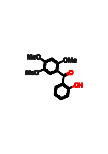 COc1cc(OC)c(C(=O)c2ccccc2O)cc1OC